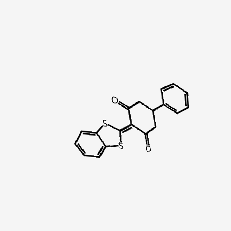 O=C1CC(c2ccccc2)CC(=O)C1=C1Sc2ccccc2S1